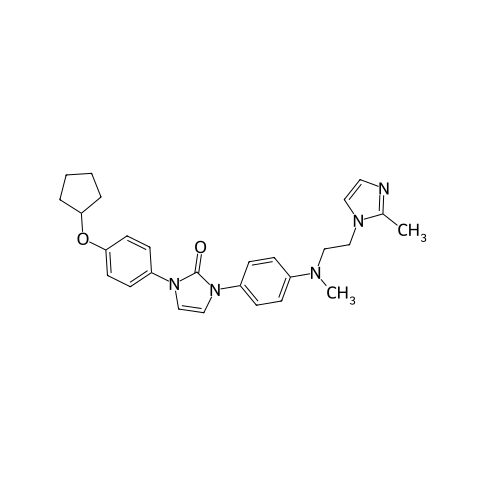 Cc1nccn1CCN(C)c1ccc(-n2ccn(-c3ccc(OC4CCCC4)cc3)c2=O)cc1